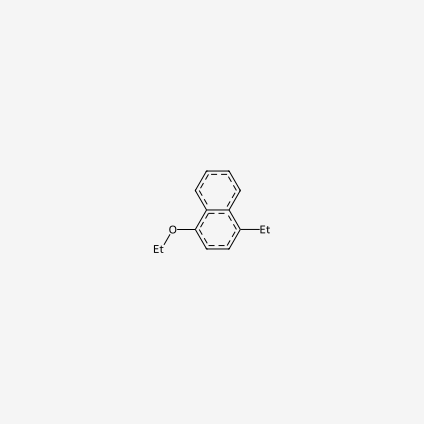 CCOc1ccc(CC)c2ccccc12